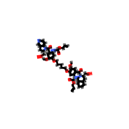 C=CCOC(=O)Nc1cc(OCCCCCOc2cc(NC(=O)OCC=C)c(C(=O)N3c4ccncc4C[C@H]3CO)cc2OC)c(OC)cc1C(=O)N1Cc2ccccc2C[C@H]1CO